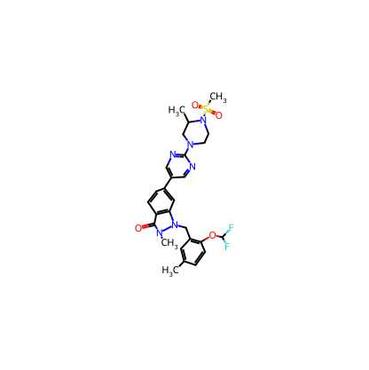 Cc1ccc(OC(F)F)c(Cn2c3cc(-c4cnc(N5CCN(S(C)(=O)=O)C(C)C5)nc4)ccc3c(=O)n2C)c1